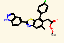 CCCCOOC(=O)Cc1c(C)cc2nc(-c3ccc4[nH]ncc4c3)sc2c1-c1ccc(Cl)cc1